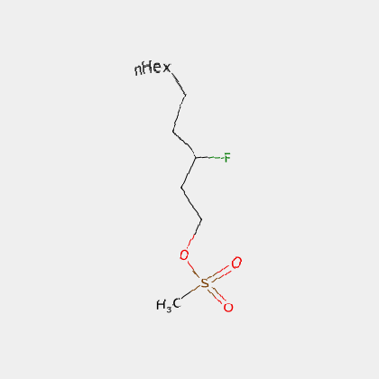 CCCCCCCCC(F)CCOS(C)(=O)=O